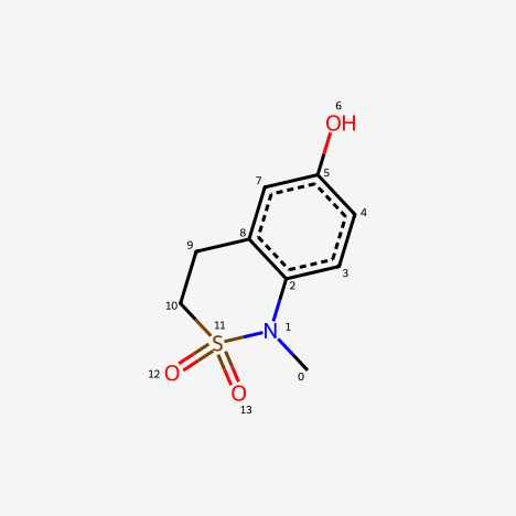 CN1c2ccc(O)cc2CCS1(=O)=O